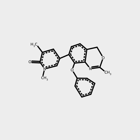 CC1=Nc2c(ccc(-c3cc(C)c(=O)n(C)c3)c2Oc2ccccc2)CO1